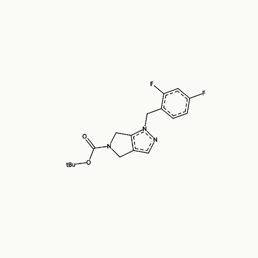 CC(C)(C)OC(=O)N1Cc2cnn(Cc3ccc(F)cc3F)c2C1